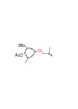 C=C(C)COc1cc(C)c(OC(C)=O)c(C(C)(C)C)c1